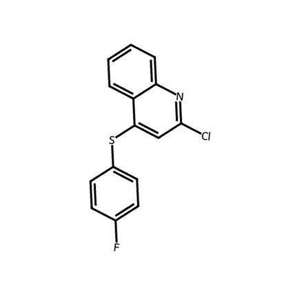 Fc1ccc(Sc2cc(Cl)nc3ccccc23)cc1